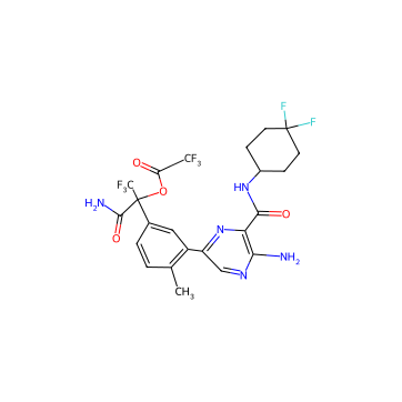 Cc1ccc(C(OC(=O)C(F)(F)F)(C(N)=O)C(F)(F)F)cc1-c1cnc(N)c(C(=O)NC2CCC(F)(F)CC2)n1